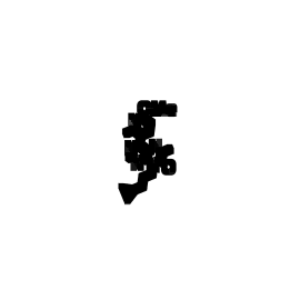 COc1ccc(-c2ncnc3c2nc(C)c(=O)n3CCCC2CC2)c(C)n1